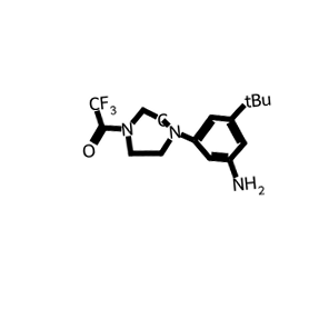 CC(C)(C)c1cc(N)cc(N2CCN(C(=O)C(F)(F)F)CC2)c1